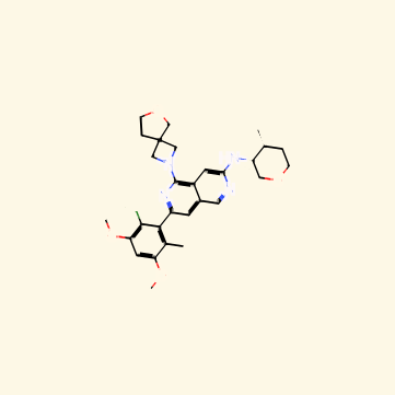 COc1cc(OC)c(Cl)c(-c2cc3cnc(N[C@@H]4COCC[C@@H]4C)cc3c(N3CC4(CCOC4)C3)n2)c1C